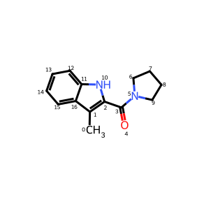 Cc1c(C(=O)N2CCCC2)[nH]c2ccccc12